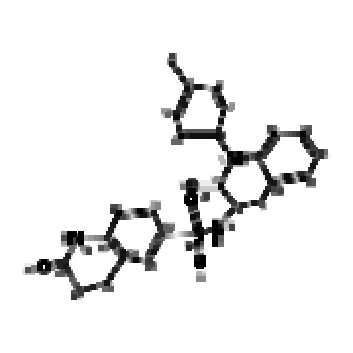 Cc1ccc(NC(=O)C(Cc2ccccc2)NS(=O)(=O)c2ccc3c(c2)CCC(=O)N3)cc1